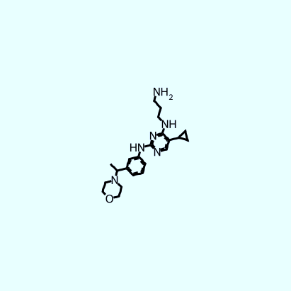 CC(c1cccc(Nc2ncc(C3CC3)c(NCCCN)n2)c1)N1CCOCC1